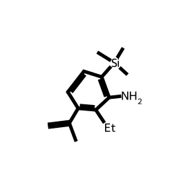 C=C(C)c1ccc([Si](C)(C)C)c(N)c1CC